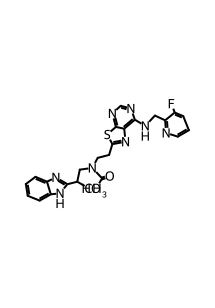 CC(CN(CCc1nc2c(NCc3ncccc3F)ncnc2s1)C(=O)O)c1nc2ccccc2[nH]1